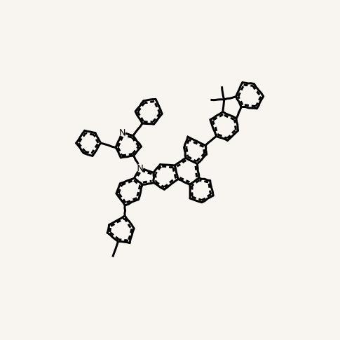 Cc1ccc(-c2ccc3c(c2)c2cc4c5ccccc5c5cc(-c6ccc7c(c6)C(C)(C)c6ccccc6-7)ccc5c4cc2n3-c2cc(-c3ccccc3)nc(-c3ccccc3)c2)cc1